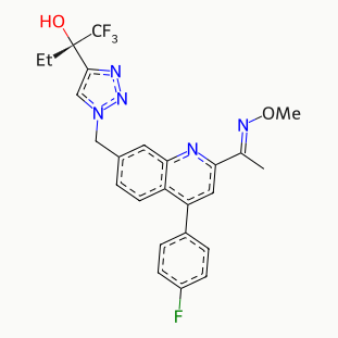 CC[C@](O)(c1cn(Cc2ccc3c(-c4ccc(F)cc4)cc(/C(C)=N/OC)nc3c2)nn1)C(F)(F)F